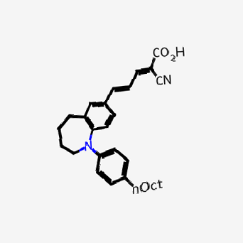 CCCCCCCCc1ccc(N2CCCCc3cc(/C=C/C=C(\C#N)C(=O)O)ccc32)cc1